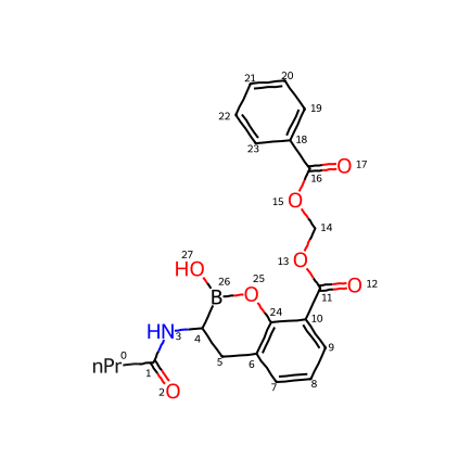 CCCC(=O)NC1Cc2cccc(C(=O)OCOC(=O)c3ccccc3)c2OB1O